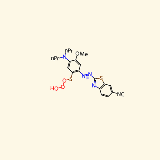 [C-]#[N+]c1ccc2nc(/N=N/c3cc(OC)c(N(CCC)CCC)cc3SOOO)sc2c1